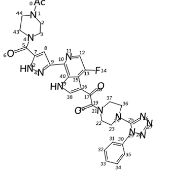 CC(=O)N1CCN(C(=O)c2cc(-c3ncc(F)c4c(C(=O)C(=O)N5CCN(c6nnnn6-c6ccccc6)CC5)c[nH]c34)n[nH]2)CC1